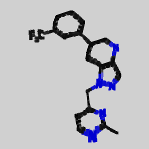 Cc1nccc(Cn2ncc3ncc(-c4cccc(C(F)(F)F)c4)cc32)n1